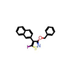 Ic1snc(OCc2ccccc2)c1-c1ccc2ccccc2c1